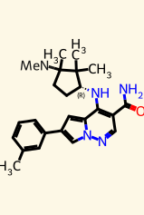 CNC1(C)CC[C@@H](Nc2c(C(N)=O)cnn3cc(-c4cccc(C)c4)cc23)C1(C)C